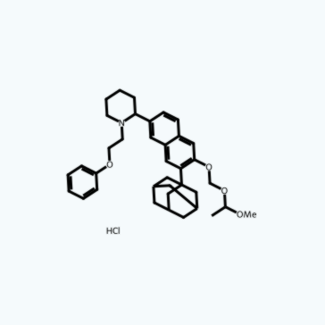 COC(C)OCOc1cc2ccc(C3CCCCN3CCOc3ccccc3)cc2cc1C12CC3CC(CC(C3)C1)C2.Cl